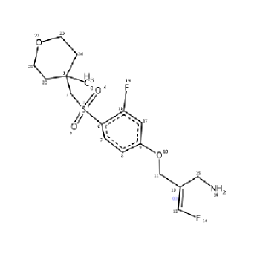 CC1(CS(=O)(=O)c2ccc(OC/C(=C/F)CN)cc2F)CCOCC1